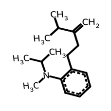 C=C(CCc1ccccc1N(C)C(C)C)C(C)C